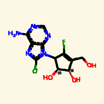 Nc1ncnc2c1nc(Cl)n2C1C(F)=C(CO)[C@H](O)[C@H]1O